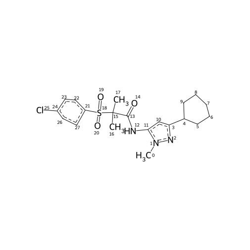 Cn1nc(C2CCCCC2)cc1NC(=O)C(C)(C)S(=O)(=O)c1ccc(Cl)cc1